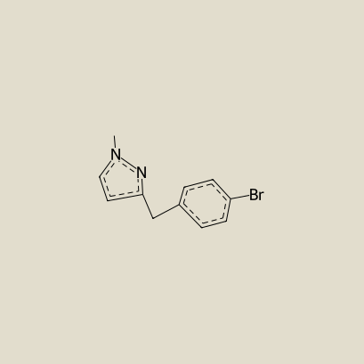 Cn1ccc(Cc2ccc(Br)cc2)n1